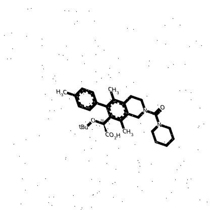 Cc1ccc(-c2c(C)c3c(c(C)c2[C@H](OC(C)(C)C)C(=O)O)CN(C(=O)N2CCCCC2)CC3)cc1